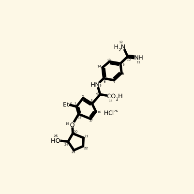 CCc1cc(C(Nc2ccc(C(=N)N)cc2)C(=O)O)ccc1OC1CCCC1O.Cl